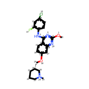 COc1nc(Nc2ccc(Cl)cc2F)c2ccc(OC[C@H]3CCCN(C)C3)cc2n1